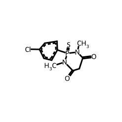 CN1C(=O)CC(=O)N(C)P1(=S)c1ccc(Cl)cc1